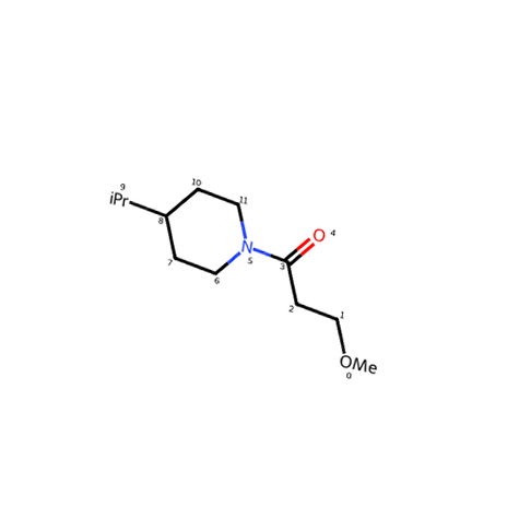 COCCC(=O)N1CCC(C(C)C)CC1